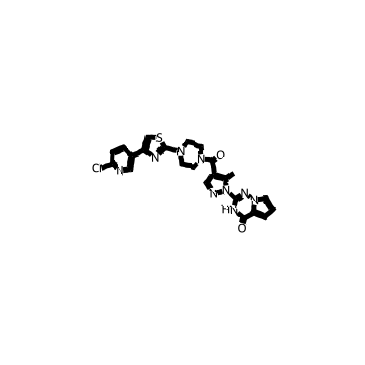 Cc1c(C(=O)N2CCN(c3nc(-c4ccc(Cl)nc4)cs3)CC2)cnn1-c1nn2cccc2c(=O)[nH]1